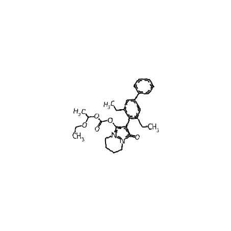 CCOC(C)OC(=O)Oc1c(-c2c(CC)cc(-c3ccccc3)cc2CC)c(=O)n2n1CCCC2